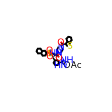 CC(=O)ONC(=N)c1cccc(C[C@H](NS(=O)(=O)c2ccc3ccccc3c2)C(=O)N2CCN(C(=O)c3csc4ccccc34)CC2)c1